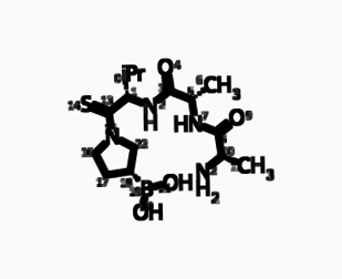 CC(C)[C@H](NC(=O)[C@H](C)NC(=O)[C@@H](C)N)C(=S)N1CC[C@@H](B(O)O)C1